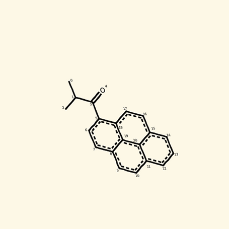 CC(C)C(=O)c1ccc2ccc3cccc4ccc1c2c34